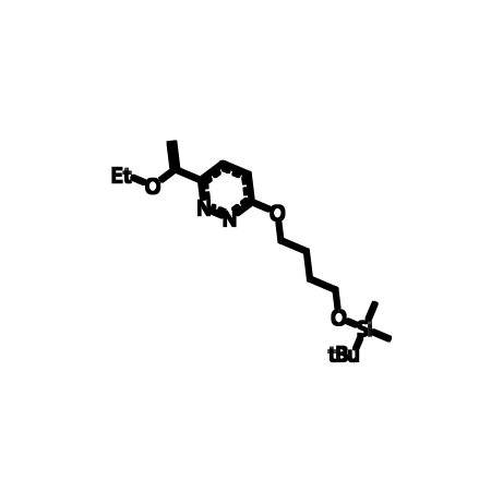 C=C(OCC)c1ccc(OCCCCO[Si](C)(C)C(C)(C)C)nn1